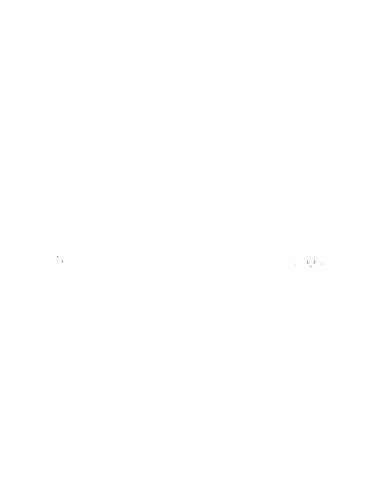 COC(=O)c1ccc(COC2(C=O)C=CC=NC2)cc1